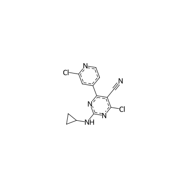 N#Cc1c(Cl)nc(NC2CC2)nc1-c1ccnc(Cl)c1